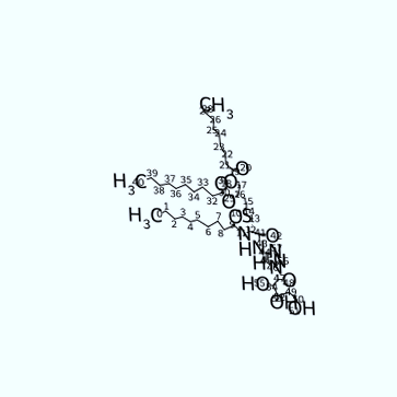 CCCCCCCCCC(=O)N[C@H](CSC[C@@H](COC(=O)CCCCCCCC)OC(=O)CCCCCCCCC)C(=O)Nc1cn([C@H]2OC(CO)[C@@H](O)[C@H]2O)nn1